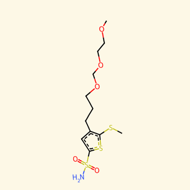 COCCOCOCCCc1cc(S(N)(=O)=O)sc1SC